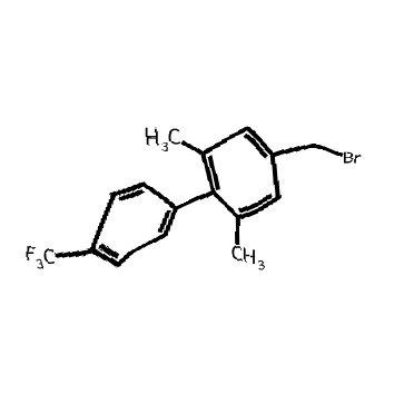 Cc1cc(CBr)cc(C)c1-c1ccc(C(F)(F)F)cc1